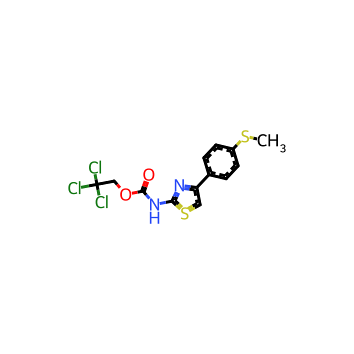 CSc1ccc(-c2csc(NC(=O)OCC(Cl)(Cl)Cl)n2)cc1